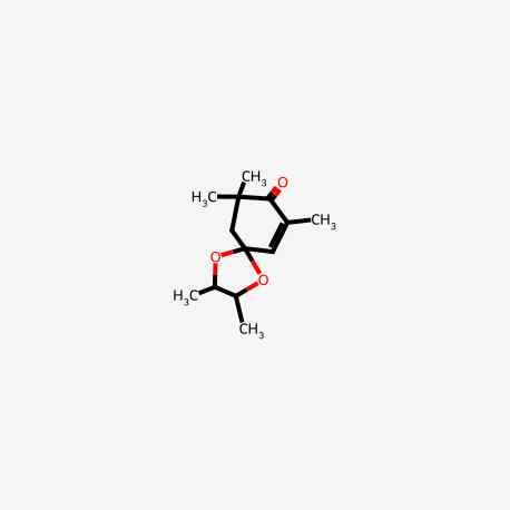 CC1=CC2(CC(C)(C)C1=O)OC(C)C(C)O2